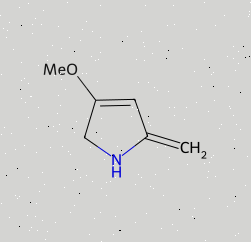 C=C1C=C(OC)CN1